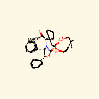 COC(=O)[C@@H](N1C(=O)O[C@H](c2ccccc2)[C@@H]1c1ccccc1)C1(CC2OCC(C)(C)CO2)CC=CC1